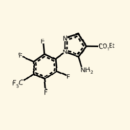 CCOC(=O)c1cnn(-c2c(F)c(F)c(C(F)(F)F)c(F)c2F)c1N